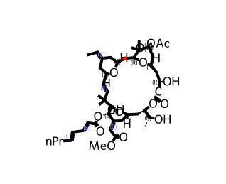 C/C=C1/C[C@H]2C[C@@]3(O)O[C@H](C[C@@H](O)CC(=O)O[C@@H]([C@@H](C)O)C[C@@H]4C/C(=C\C(=O)OC)[C@H](OC(=O)/C=C/C=C/CCC)[C@@](O)(O4)C(C)(C)/C=C/[C@@H](C1)O2)C[C@H](OC(C)=O)C3(C)C